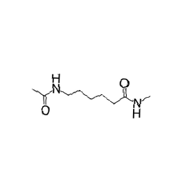 CNC(=O)CCCCCNC(C)=O